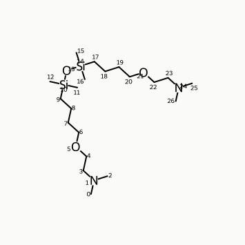 CN(C)CCOCCCC[Si](C)(C)O[Si](C)(C)CCCCOCCN(C)C